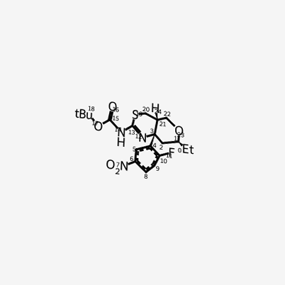 CC[C@H]1C[C@]2(c3cc([N+](=O)[O-])ccc3F)N=C(NC(=O)OC(C)(C)C)SC[C@@H]2CO1